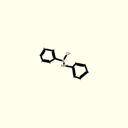 ClN(Nc1ccccc1)c1ccccc1